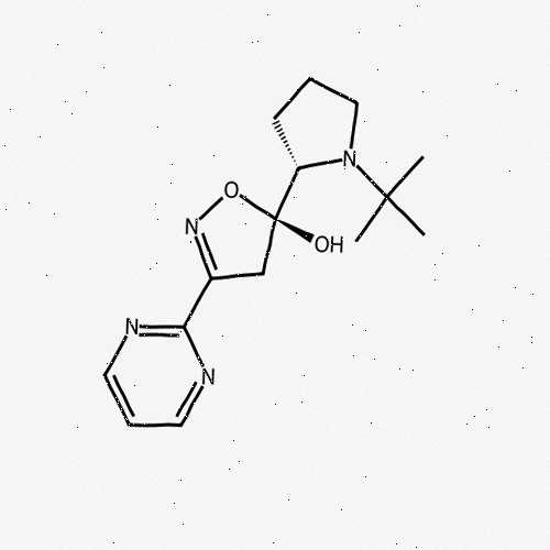 CC(C)(C)N1CCC[C@H]1[C@]1(O)CC(c2ncccn2)=NO1